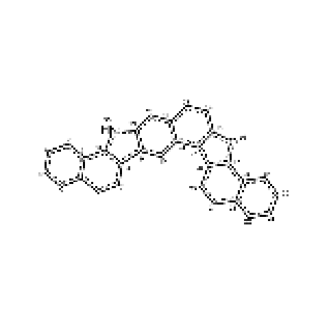 c1ccc2c(c1)ccc1c3cc4c(ccc5oc6c7ccccc7ccc6c54)cc3[nH]c21